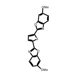 COc1ccc2nc(-c3ccc(-c4nc5ccc(OC)cc5o4)s3)oc2c1